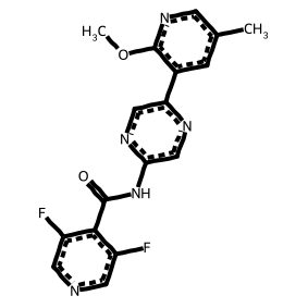 COc1ncc(C)cc1-c1cnc(NC(=O)c2c(F)cncc2F)cn1